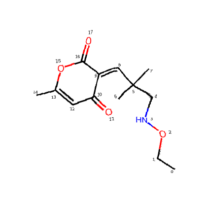 CCONCC(C)(C)C=C1C(=O)C=C(C)OC1=O